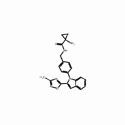 Cc1noc(-c2cc3ccccc3n2-c2ccc(CNC(=O)C3(N)CC3)cc2)n1